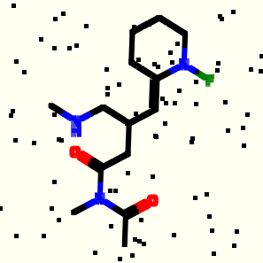 CNCC(/C=C1\CCCCN1F)CC(=O)N(C)C(C)=O